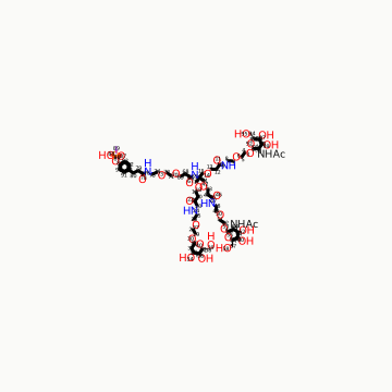 CC(=O)N[C@H]1[C@H](OCCOCCNC(=O)CCOCC(COCCC(=O)CNCCOCCO[C@H]2C[C@@H](O)[C@@H](O)[C@@H](CO)O2)(COCCC(=O)NCCOCCO[C@@H]2O[C@H](CO)[C@H](O)[C@H](O)[C@H]2NC(C)=O)NC(=O)CCOCCOCCNC(=O)CCc2ccc(OP(=O)(O)I)cc2)O[C@H](CO)[C@H](O)[C@@H]1O